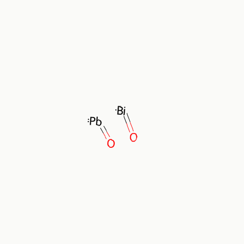 [O]=[Bi].[O]=[Pb]